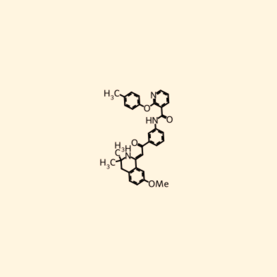 COc1ccc2c(c1)/C(=C/C(=O)c1cccc(NC(=O)c3cccnc3Oc3ccc(C)cc3)c1)NC(C)(C)C2